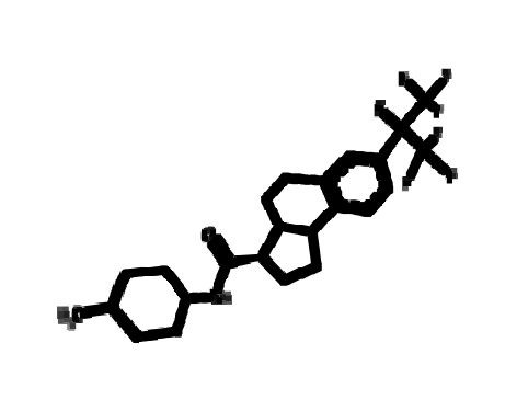 CC1CCC(NC(=O)[C@@H]2CCC3c4ccc(C(F)(C(F)(F)F)C(F)(F)F)cc4CCC32)CC1